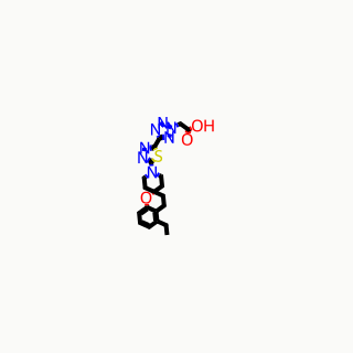 CCc1cccc2c1CCC1(CCN(c3nnc(-c4nnn(CC(=O)O)n4)s3)CC1)O2